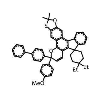 CCC1(CC)CCC2(CC1)c1ccccc1-c1c2c2c(c3cc4c(cc13)OC(C)(C)S4)OC(c1ccc(OC)cc1)(c1ccc(-c3ccccc3)cc1)C=C2